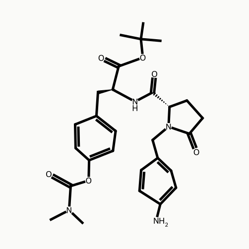 CN(C)C(=O)Oc1ccc(C[C@H](NC(=O)[C@@H]2CCC(=O)N2Cc2ccc(N)cc2)C(=O)OC(C)(C)C)cc1